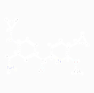 COc1nc(C(=O)c2ccc(SC3CC3)c(CN)c2)ccc1C1CC1